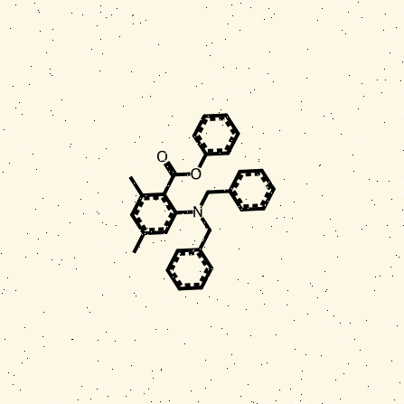 Cc1cc(C)c(C(=O)Oc2ccccc2)c(N(Cc2ccccc2)Cc2ccccc2)c1